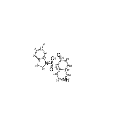 Cc1ccc2c(c1)N(S(=O)(=O)c1c3cc[nH]cc-3ccc1=O)CC2